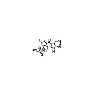 CCCS(=O)(=O)Nc1cc(F)cc(C(=O)C2=CNC3N=CN=CC23)c1F